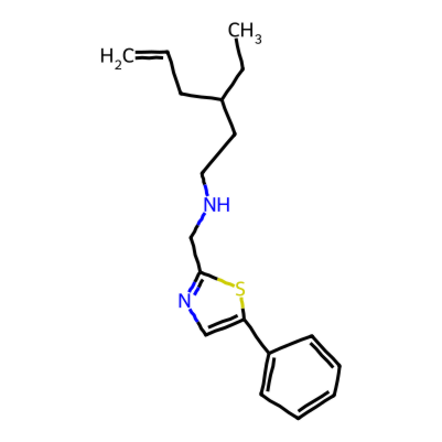 C=CCC(CC)CCNCc1ncc(-c2ccccc2)s1